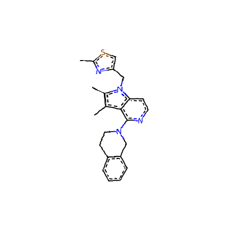 Cc1nc(Cn2c(C)c(C)c3c(N4CCc5ccccc5C4)nccc32)cs1